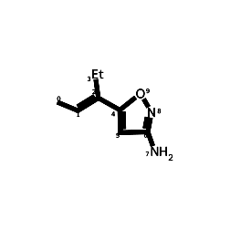 CC=C(CC)c1cc(N)no1